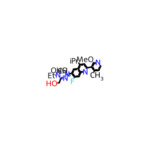 CCN(C)/C(CO)=N\N(C=O)c1cc2c(C(C)C)cc(-c3c(C)ccnc3OC)nc2cc1F